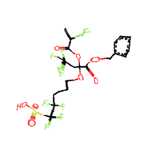 C=C(F)C(=O)OC(OCCCC(F)(F)C(F)(F)S(=O)(=O)O)(C(=O)OCc1ccccc1)C(F)(F)F